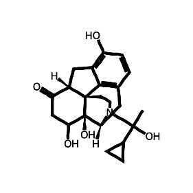 CC(O)(C1CC1)N1CC[C@]23c4c5ccc(O)c4C[C@H]2C(=O)CC(O)[C@@]3(O)[C@H]1C5